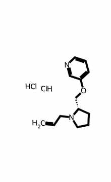 C=CCN1CCC[C@H]1COc1cccnc1.Cl.Cl